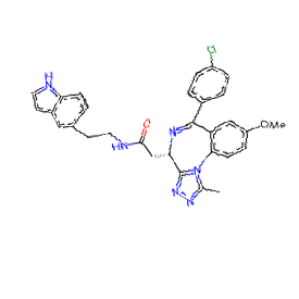 COc1ccc2c(c1)C(c1ccc(Cl)cc1)=N[C@@H](CC(=O)NCCc1ccc3[nH]ccc3c1)c1nnc(C)n1-2